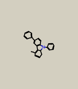 CC1=C2c3cc(-c4ccccc4)ccc3N(c3ccccc3)C2CC=C1